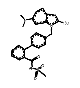 CCCCc1nc2ccc(N(C)C)cc2n1Cc1ccc(-c2ccccc2C(=O)NS(C)(=O)=O)cc1